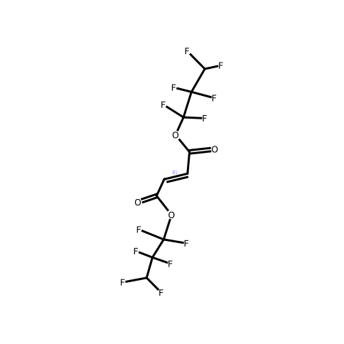 O=C(/C=C/C(=O)OC(F)(F)C(F)(F)C(F)F)OC(F)(F)C(F)(F)C(F)F